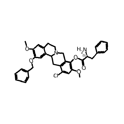 COc1cc2c(cc1OCc1ccccc1)C1Cc3c(Cl)cc(OC)c(OC(=O)[C@@H](N)Cc4ccccc4)c3CN1CC2